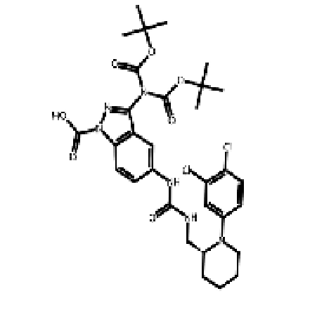 CC(C)(C)OC(=O)N(C(=O)OC(C)(C)C)c1nn(C(=O)O)c2ccc(NC(=O)NC[C@@H]3CCCCN3c3ccc(Cl)c(Cl)c3)cc12